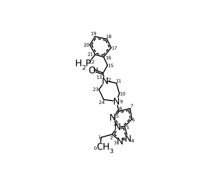 CCc1nnc2ccc(N3CCN(C(=O)Cc4ccccc4P)CC3)nn12